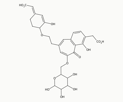 O=C(O)/C=C1/C=C(O)C(OCCc2cc(OCC3OC(O)C(O)C(O)C3O)c(=O)c3c(O)c(CC(=O)O)ccc3c2)CC1